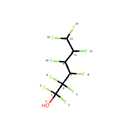 OC(F)(F)C(F)(F)C(F)C(F)C(F)C(F)F